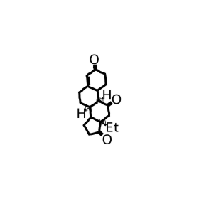 CC[C@]12CC(=O)[C@@H]3C4CCC(=O)C=C4CC[C@@H]3C1CCC2=O